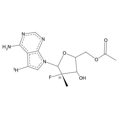 [3H]c1cn(C2OC(COC(C)=O)C(O)[C@]2(C)F)c2ncnc(N)c12